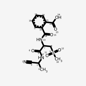 CC(C#N)NC(=O)C(CS(C)(=O)=O)NC(=O)c1ccccc1C(=O)O